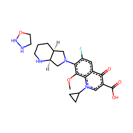 C1CONN1.COc1c(N2C[C@@H]3CCCN[C@@H]3C2)c(F)cc2c(=O)c(C(=O)O)cn(C3CC3)c12